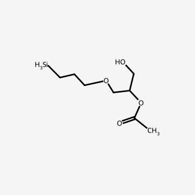 CC(=O)OC(CO)COCCC[SiH3]